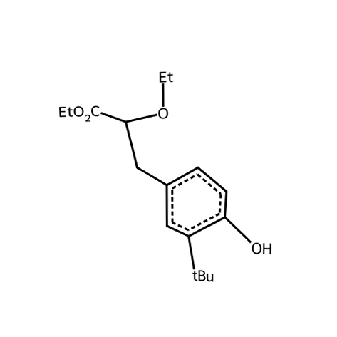 CCOC(=O)C(Cc1ccc(O)c(C(C)(C)C)c1)OCC